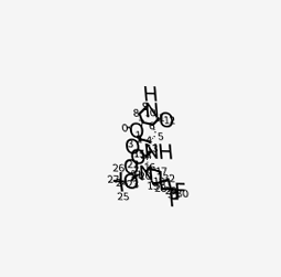 COC(=O)[C@H](C[C@@H]1CCCNC1=O)NC(=O)[C@@H]1CC2(CN1C(=O)OC(C)(C)C)CC(F)(F)C2